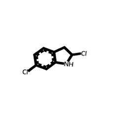 Clc1ccc2c(c1)NC(Cl)C2